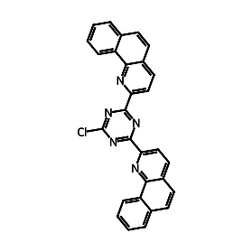 Clc1nc(-c2ccc3ccc4ccccc4c3n2)nc(-c2ccc3ccc4ccccc4c3n2)n1